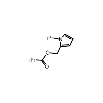 CC(C)C(=O)OCc1cccn1C(C)C